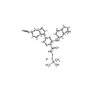 CC(C)(O)[C@H](F)CNC(=O)c1cnc(-c2ccc3cc(C#N)cnn23)cc1Nc1cnc2cc[nH]c2c1